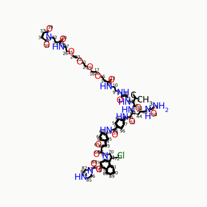 CC(C)[C@H](NCC(=O)NCCNC(=O)CCOCCOCCOCCOCCNC(=O)CCN1C(=O)C=CC1=O)C(=O)N[C@@H](CCCNC(N)=O)C(=O)Nc1ccc(C(=O)Nc2ccc3oc(C(=O)N4C[C@@H](CCl)c5c4cc(OC(=O)N4CCNCC4)c4ccccc54)cc3c2)cc1